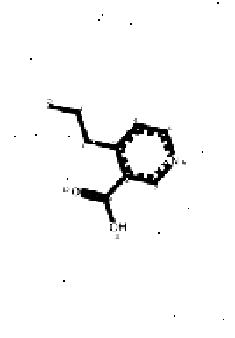 CCCc1ccncc1C(=O)O